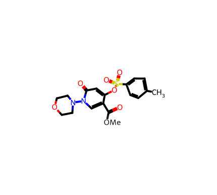 COC(=O)c1cn(N2CCOCC2)c(=O)cc1OS(=O)(=O)c1ccc(C)cc1